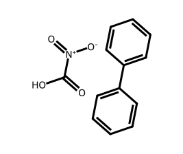 O=C(O)[N+](=O)[O-].c1ccc(-c2ccccc2)cc1